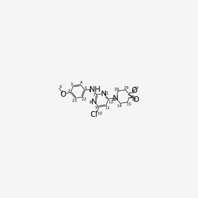 COc1ccc(Nc2nc(Cl)cc(N3CCS(=O)(=O)CC3)n2)cc1